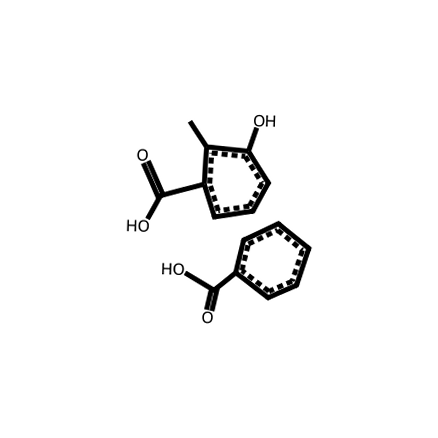 Cc1c(O)cccc1C(=O)O.O=C(O)c1ccccc1